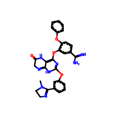 CN1CCN=C1c1cccc(OC2=NC(Oc3cc(C(=N)N)ccc3Oc3ccccc3)=C3NC(=O)CN=C3N2)c1